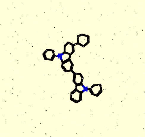 C1=CCCC(N2c3ccc(C4=Cc5c(n(C6=CC=CCC6)c6ccccc56)CC4)cc3C3C=C(C4CC=CCC4)CCC32)=C1